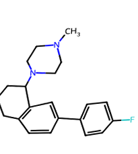 CN1CCN(C2CCCc3ccc(-c4ccc(F)cc4)cc32)CC1